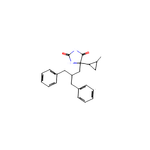 O=C1NC(=O)C(CC(Cc2ccccc2)Cc2ccccc2)(C2CC2C(=O)O)N1